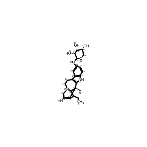 CCC1C[C@H]2C[C@H]3c4[nH]c5ccc(OC6OC[C@@H](O)[C@@H](O)[C@H]6O)cc5c4CCN(C2)C13